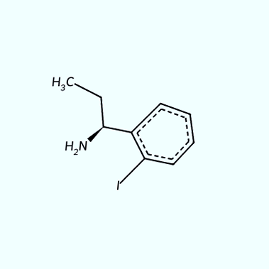 CC[C@H](N)c1ccccc1I